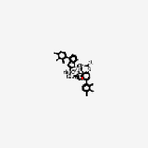 CCC(=O)N[B](NC(=O)CC)[Zr]([Cl])([Cl])([CH]1C(C(C)(C)C)=Cc2c(-c3ccc(C)c(C)c3C)cccc21)[CH]1C(C(C)(C)C)=Cc2c(-c3ccc(C)c(C)c3C)cccc21